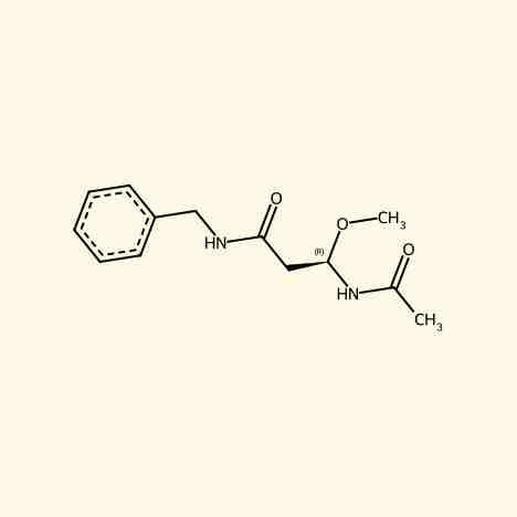 CO[C@H](CC(=O)NCc1ccccc1)NC(C)=O